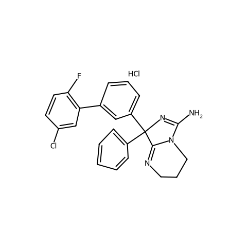 Cl.NC1=NC(c2ccccc2)(c2cccc(-c3cc(Cl)ccc3F)c2)C2=NCCCN12